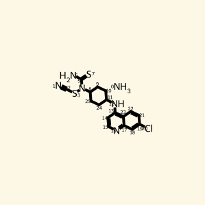 N.N#CSN(C(N)=S)C1CCC(Nc2ccnc3cc(Cl)ccc23)CC1